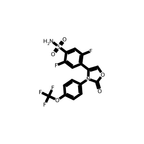 NS(=O)(=O)c1cc(F)c(-c2coc(=O)n2-c2ccc(OC(F)(F)F)cc2)cc1F